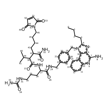 CCCCc1nc2c(N)nc3ccccc3c2n1Cc1ccc(CNC(=O)C(CCCNC(N)=O)NC(=O)C(C(C)C)C(CCCCN2C(=O)C=CC2=O)C(N)=O)cc1